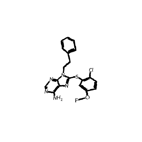 Nc1ncnc2c1nc(Sc1cc(OF)ccc1Cl)n2CCc1ccccc1